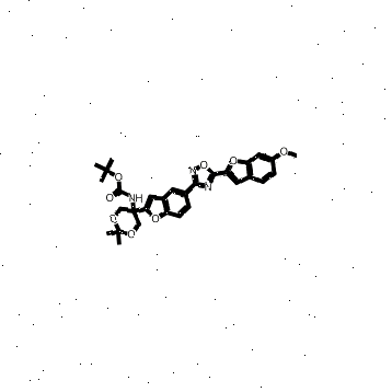 COc1ccc2cc(-c3nc(-c4ccc5oc(C6(NC(=O)OC(C)(C)C)COC(C)(C)OC6)cc5c4)no3)oc2c1